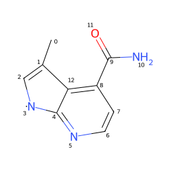 CC1=C[N]c2nccc(C(N)=O)c21